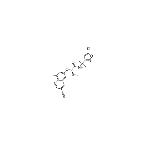 C#Cc1cnc2c(C)cc(OC(SC)C(=O)NC(C)(C)c3cc(Cl)on3)cc2c1